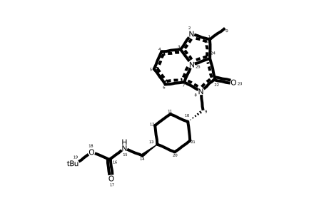 Cc1nc2cccc3n(C[C@H]4CC[C@H](CNC(=O)OC(C)(C)C)CC4)c(=O)c1n23